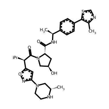 Cc1ncsc1-c1ccc([C@H](C)NC(=O)[C@@H]2C[C@@H](O)CN2C(=O)[C@@H](c2cc(N3CCN[C@@H](C)C3)no2)C(C)C)cc1